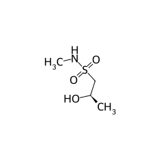 CNS(=O)(=O)C[C@@H](C)O